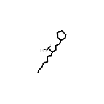 CCCCCCCC(CCCC1CCCCC1)C(=O)O